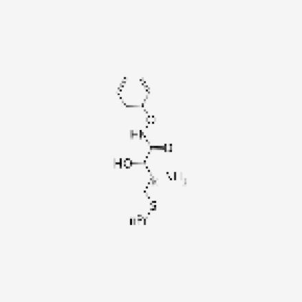 CCCSC[C@@H](N)C(O)C(=O)NOc1ccccc1